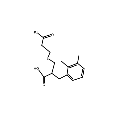 Cc1cccc(CC(CSCCC(=O)O)C(=O)O)c1C